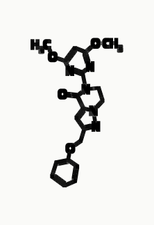 COc1cc(OC)nc(N2CCn3nc(COc4ccccc4)cc3C2=O)n1